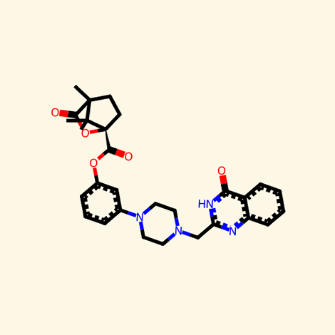 CC12CC[C@](C(=O)Oc3cccc(N4CCN(Cc5nc6ccccc6c(=O)[nH]5)CC4)c3)(OC1=O)C2(C)C